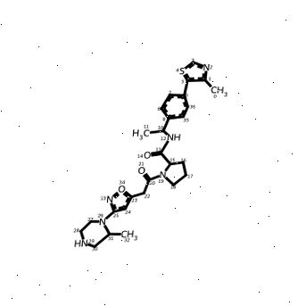 Cc1ncsc1-c1ccc(C(C)NC(=O)C2CCCN2C(=O)Cc2cc(N3CCNCC3C)no2)cc1